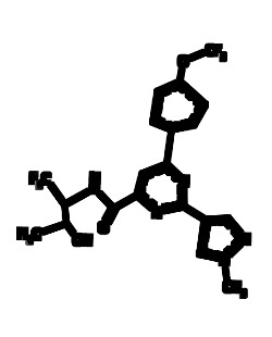 CC(O)C(NC(=O)c1cc(-c2ccc(OC(F)(F)F)cc2)nc(-c2cnn(C)c2)n1)C(F)(F)F